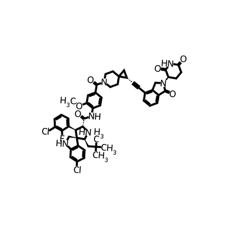 COc1cc(C(=O)N2CCC3(CC2)C[C@@H]3C#Cc2cccc3c2CN([C@@H]2CCC(=O)NC2=O)C3=O)ccc1NC(=O)[C@@H]1N[C@@H](CC(C)(C)C)[C@@]2(CNc3cc(Cl)ccc32)[C@H]1c1cccc(Cl)c1F